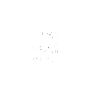 C=C1C=C(c2cc(Cl)ccc2C(=O)CC)C(OC)=CN1C(C=O)CCOC(C)(C)C